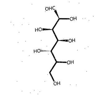 O=C[C@@H](O)[C@H](O)[C@@H](O)[C@@H](O)C(O)CO